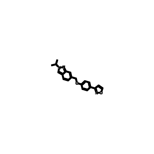 CC(C)n1cc2ccc(COc3ccc(-c4ccon4)cc3)cc2n1